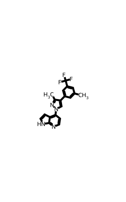 Cc1cc(-c2cn(-c3ccnc4[nH]ccc34)nc2C)cc(C(F)(F)F)c1